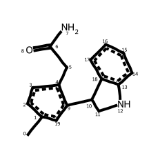 Cc1ccc(CC(N)=O)c(C2CNc3ccccc32)c1